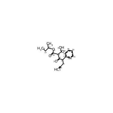 C#CCC(C(=O)C(C(=O)O)C(=O)OC(C)CC)c1ccccn1